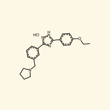 CCOc1ccc(-c2nc(-c3cccc(CN4CCCC4)c3)n[nH]2)cc1.Cl